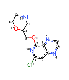 Clc1cc2nccnc2c(OCC2CNCCO2)n1